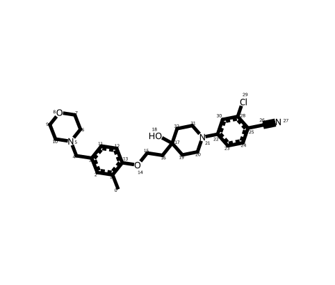 Cc1cc(CN2CCOCC2)ccc1OCCC1(O)CCN(c2ccc(C#N)c(Cl)c2)CC1